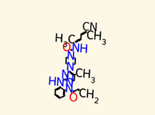 C=CC(=O)Nc1ccccc1Nc1ncc(C)c(N2CCN(C(=O)N/C(C)=C/C=C(\C)C#N)CC2)n1